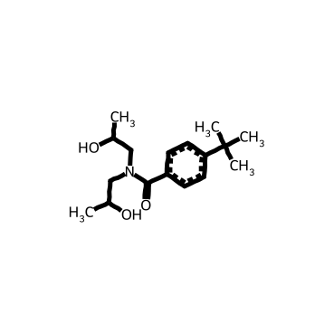 CC(O)CN(CC(C)O)C(=O)c1ccc(C(C)(C)C)cc1